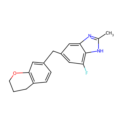 Cc1nc2cc(Cc3ccc4c(c3)OCCC4)cc(F)c2[nH]1